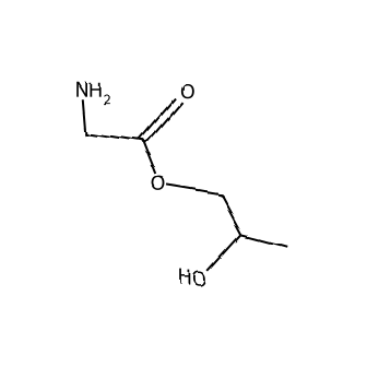 CC(O)COC(=O)CN